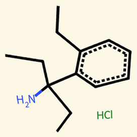 CCc1ccccc1C(N)(CC)CC.Cl